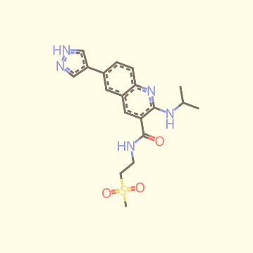 CC(C)Nc1nc2ccc(-c3cn[nH]c3)cc2cc1C(=O)NCCS(C)(=O)=O